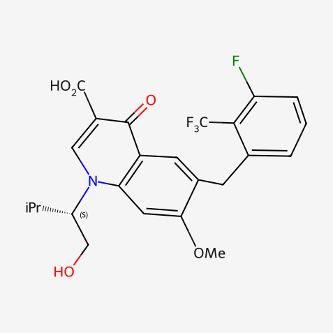 COc1cc2c(cc1Cc1cccc(F)c1C(F)(F)F)c(=O)c(C(=O)O)cn2[C@H](CO)C(C)C